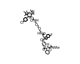 CN[C@@H](C)C(=O)NC(C(=O)N1CCN(C(=O)c2cc3cc(F)ccc3n2CC(=O)NCCOCCOCCNC(=O)C[C@@H]2N=C(c3ccc(Cl)cc3)c3c(sc(C)c3C)-n3c(C)nnc32)CC1)C1CCCCC1